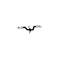 CC(=O)OCCC(F)(F)CCOC(C)=O